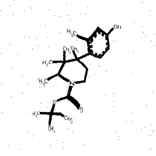 Cc1cc(O)ccc1C1(C)CCN(C(=O)OC(C)(C)C)C(C)C1(C)C